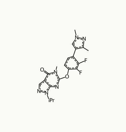 Cc1nn(C)cc1-c1ccc(Oc2nc3c(cnn3C(C)C)c(=O)n2C)c(F)c1F